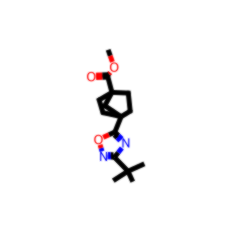 COC(=O)C12CCC(c3nc(C(C)(C)C)no3)(CC1)C2